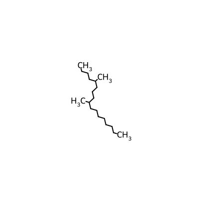 CCCCCCCCC(C)CCCC(C)CCCC